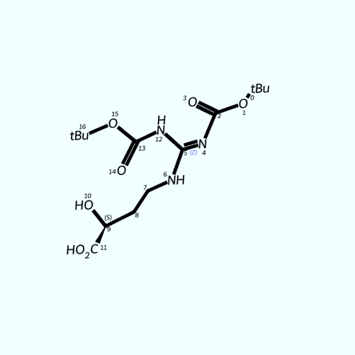 CC(C)(C)OC(=O)/N=C(/NCC[C@H](O)C(=O)O)NC(=O)OC(C)(C)C